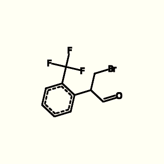 O=CC(CBr)c1ccccc1C(F)(F)F